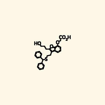 O=C(O)COc1cccc2c(CCSC(c3ccccc3)c3ccccc3)c(CCCO)oc12